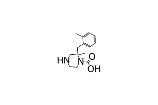 Cc1ccccc1CC1(C)CNCCN1C(=O)O